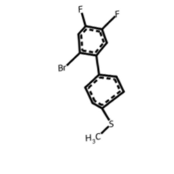 CSc1ccc(-c2cc(F)c(F)cc2Br)cc1